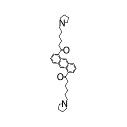 O=C(CCCCCN1CCCC1)c1cccc2cc3c(C(=O)CCCCCN4CCCC4)cccc3cc12